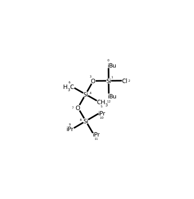 CCC(C)[Si](Cl)(O[Si](C)(C)O[Si](C(C)C)(C(C)C)C(C)C)C(C)CC